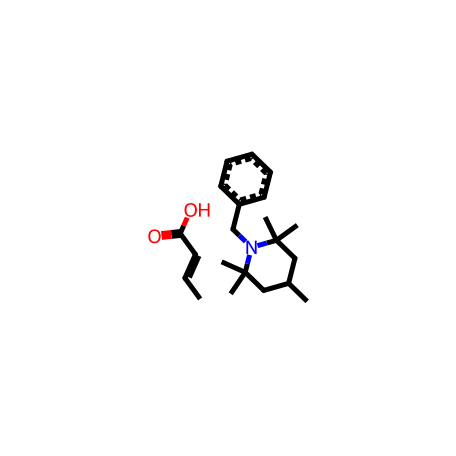 CC1CC(C)(C)N(Cc2ccccc2)C(C)(C)C1.CC=CC(=O)O